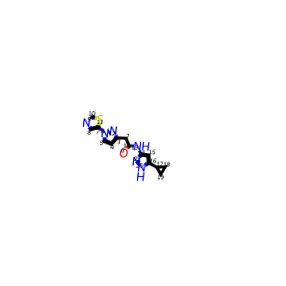 O=C(Cc1ccn(-c2cncs2)n1)Nc1cc(C2CC2)[nH]n1